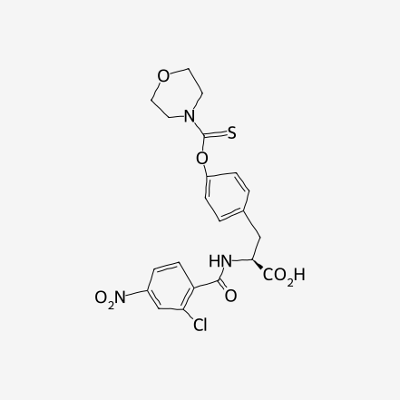 O=C(N[C@@H](Cc1ccc(OC(=S)N2CCOCC2)cc1)C(=O)O)c1ccc([N+](=O)[O-])cc1Cl